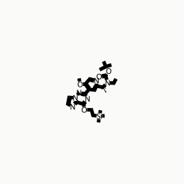 CCN(C(=O)OC(C)(C)C)[C@H](C)c1cc(-c2nc(OCC[Si](C)(C)C)c3nccn3n2)c(OC)cn1